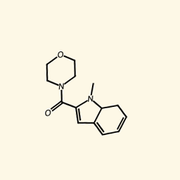 CN1C(C(=O)N2CCOCC2)=CC2=CC=CCC21